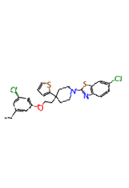 CCc1cc(Cl)cc(OCCC2(c3cccs3)CCN(c3nc4ccc(Cl)cc4s3)CC2)c1